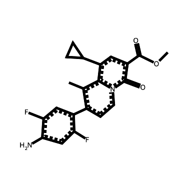 COC(=O)c1cc(C2CC2)c2c(C)c(-c3cc(F)c(N)cc3F)ccn2c1=O